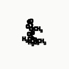 CC(C)=CC1C(C(=O)OC2CC(=O)C(Cc3ccco3)=C2C)C1(C)C